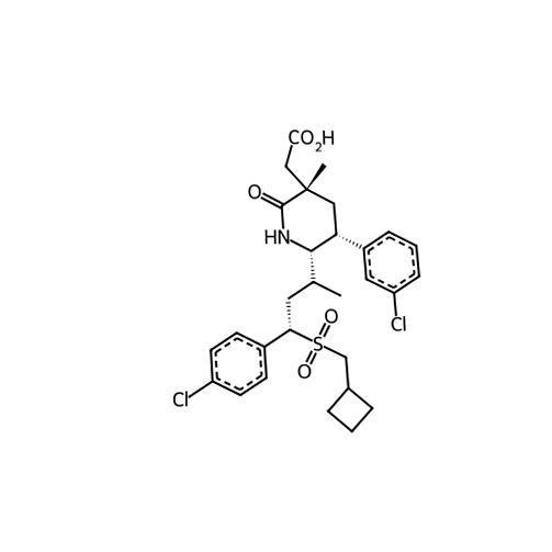 CC(C[C@@H](c1ccc(Cl)cc1)S(=O)(=O)CC1CCC1)[C@@H]1NC(=O)[C@](C)(CC(=O)O)C[C@@H]1c1cccc(Cl)c1